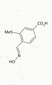 CSc1cc(C(=O)O)ccc1C=NO